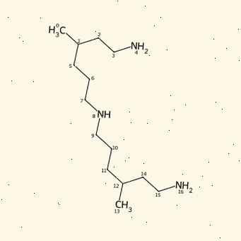 CC(CCN)CCCNCCCC(C)CCN